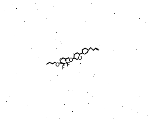 C=CCCC1CCC(C2CCC(OCc3ccc(OCCCC)c(F)c3F)CO2)CC1